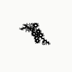 CCCCC(CO)CCC1=CC(C2(c3ccccc3)C3=C(CC4C=CC=CC4C3)C3=CC=C(C4NC(C5CCC=CC5O)=NC(OCC(CC)CCCC)N4)CC32)CC=C1